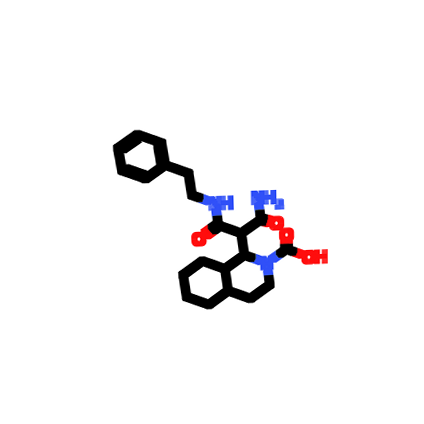 NC(=O)C(C(=O)NCCc1ccccc1)C1C2CCCCC2CCN1C(=O)O